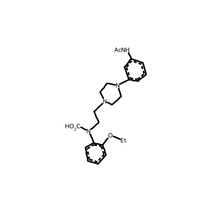 CCOc1ccccc1N(CCN1CCN(c2cccc(NC(C)=O)c2)CC1)C(=O)O